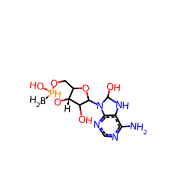 B[PH]1(O)OCC2OC(N3c4ncnc(N)c4NC3O)C(O)[C@@H]2O1